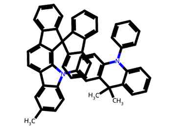 Cc1ccc2c(c1)c1ccc3c(c1n2-c1ccc2c(c1)C(C)(C)c1ccccc1N2c1ccccc1)C1(c2ccccc2-c2ccccc21)c1ccccc1-3